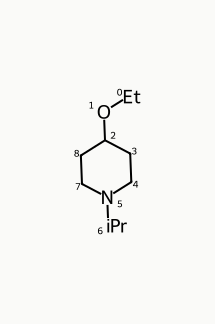 [CH2]COC1CCN(C(C)C)CC1